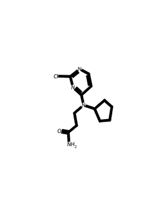 NC(=O)CCN(c1ccnc(Cl)n1)C1CCCC1